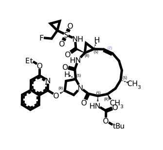 CCOc1cc2ccccc2c(O[C@@H]2C[C@H]3C(=O)N[C@]4(C(=O)NS(=O)(=O)C5(CF)CC5)C[C@H]4/C=C\CC[C@H](C)C[C@@H](C)[C@H](NC(=O)OC(C)(C)C)C(=O)N3C2)n1